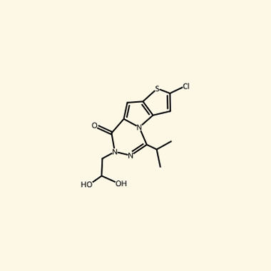 CC(C)c1nn(CC(O)O)c(=O)c2cc3sc(Cl)cc3n12